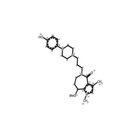 COC1CCN(CCCN2CCN(c3ccc(O)cc3)CC2)C(=O)c2c(C)cn(C)c21